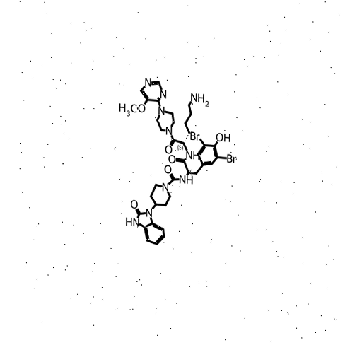 COc1cncnc1N1CCN(C(=O)[C@H](CCCCN)NC(=O)[C@@H](Cc2cc(Br)c(O)c(Br)c2)NC(=O)N2CCC(n3c(=O)[nH]c4ccccc43)CC2)CC1